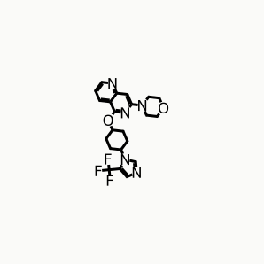 FC(F)(F)c1cncn1C1CCC(Oc2nc(N3CCOCC3)cc3ncccc23)CC1